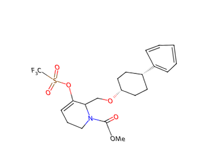 COC(=O)N1CCC=C(OS(=O)(=O)C(F)(F)F)C1CO[C@H]1CC[C@@H](c2ccccc2)CC1